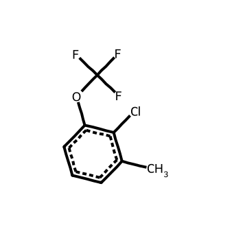 Cc1cccc(OC(F)(F)F)c1Cl